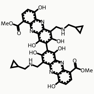 COC(=O)c1ccc(O)c2nc3c(CNCC4CC4)c(O)c(-c4c(O)c(CNCC5CC5)c5nc6c(O)ccc(C(=O)OC)c6nc5c4O)c(O)c3nc12